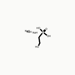 O=P(O)(O)CCO.[NaH].[NaH].[NaH]